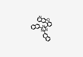 c1ccc2cc(-c3nc(-c4ccc5ccccc5c4)nc(-c4cccc5oc6cc7ncccc7cc6c45)n3)ccc2c1